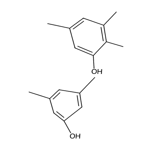 Cc1cc(C)c(C)c(O)c1.Cc1cc(C)cc(O)c1